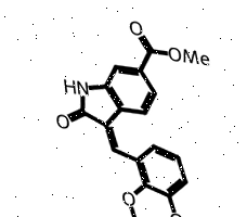 COC(=O)c1ccc2c(c1)NC(=O)/C2=C/c1cccc2c1OCCO2